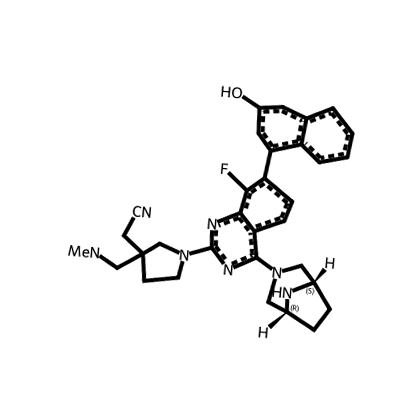 CNCC1(CC#N)CCN(c2nc(N3C[C@H]4CC[C@@H](C3)N4)c3ccc(-c4cc(O)cc5ccccc45)c(F)c3n2)C1